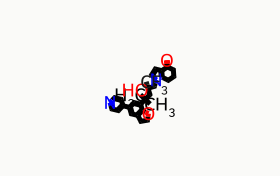 CC(C)(CC(O)(Cn1ccc2c1CCCC2=O)C(F)(F)F)c1cc(-c2ccncc2)cc2c1OCC2